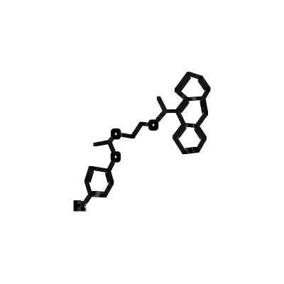 CCc1ccc(OC(C)OCCOC(C)c2c3ccccc3cc3ccccc23)cc1